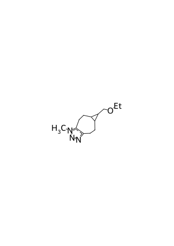 CCOCC1C2CCc3nnn(C)c3CCC21